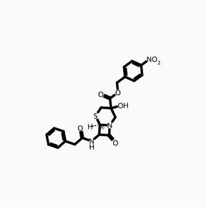 O=C(Cc1ccccc1)NC1C(=O)N2CC(O)(C(=O)OCc3ccc([N+](=O)[O-])cc3)CS[C@H]12